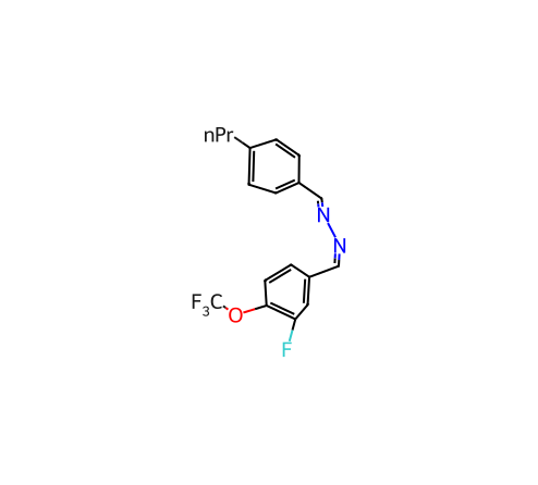 CCCc1ccc(/C=N/N=C\c2ccc(OC(F)(F)F)c(F)c2)cc1